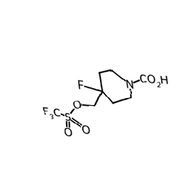 O=C(O)N1CCC(F)(COS(=O)(=O)C(F)(F)F)CC1